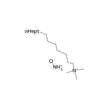 CCCCCCCCCCCCCC[N+](C)(C)C.[NH3+][O-]